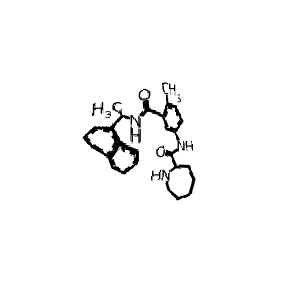 Cc1ccc(NC(=O)C2CCCCCN2)cc1C(=O)N[C@H](C)c1cccc2ccccc12